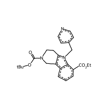 CCOC(=O)c1cccc2c3c(n(Cc4ccncc4)c12)CCN(C(=O)OC(C)(C)C)C3